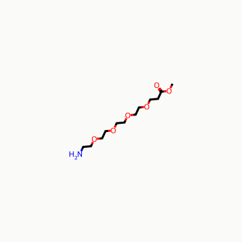 COC(=O)CCOCCOCCOCCOCCN